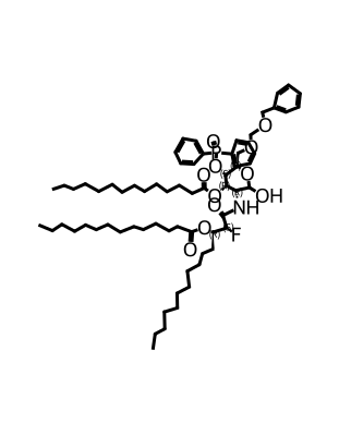 CCCCCCCCCCCCCC(=O)O[C@H]1[C@H](OP(=O)(c2ccccc2)c2ccccc2)[C@@H](COCOCc2ccccc2)OC(O)[C@@H]1NC(=O)[C@@H](F)[C@@H](CCCCCCCCCCC)OC(=O)CCCCCCCCCCCCC